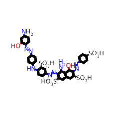 Nc1ccc(/N=N/c2ccc(Nc3ccc(/N=N/c4c(S(=O)(=O)O)cc5cc(S(=O)(=O)O)c(/N=N/c6ccc(S(=O)(=O)O)cc6)c(O)c5c4N)cc3S(=O)(=O)O)cc2)c(O)c1